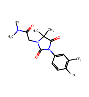 CC(C)N(C)C(=O)CN1C(=O)N(c2ccc(C#N)c(C(F)(F)F)c2)C(=O)C1(C)C